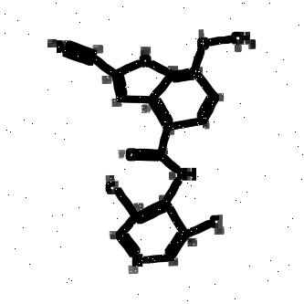 COc1ccc(C(=O)Nc2c(Cl)cncc2Cl)c2cc(C#N)oc12